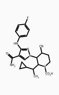 CC(C1CC1)C1C(n2cc(C(N)=O)c(Nc3ccc(F)cc3)n2)C(C#N)CCN1C(=O)O